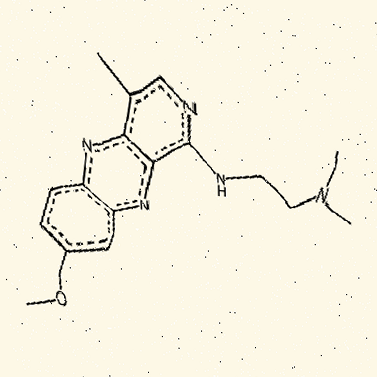 COc1ccc2nc3c(C)cnc(NCCN(C)C)c3nc2c1